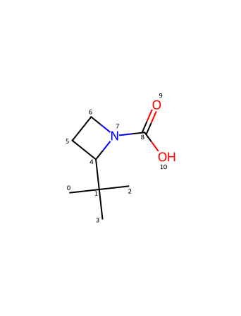 CC(C)(C)C1CCN1C(=O)O